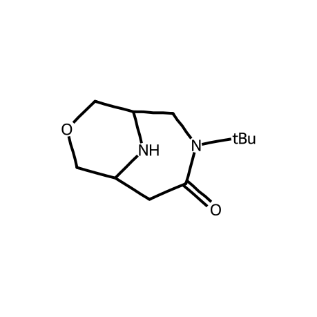 CC(C)(C)N1CC2COCC(CC1=O)N2